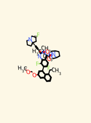 CCc1cccc2cc(OCOC)cc(-c3c(F)cc4c(N5CC6CCC(C5)N6C(=O)OC(C)(C)C)nc(C#C[C@@]56CCCN5C[C@H](F)C6)nc4c3F)c12